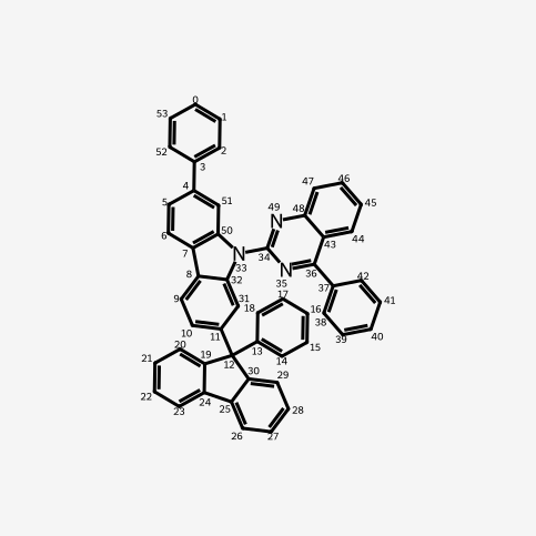 c1ccc(-c2ccc3c4ccc(C5(c6ccccc6)c6ccccc6-c6ccccc65)cc4n(-c4nc(-c5ccccc5)c5ccccc5n4)c3c2)cc1